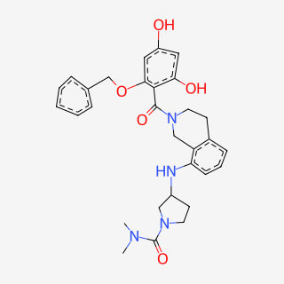 CN(C)C(=O)N1CCC(Nc2cccc3c2CN(C(=O)c2c(O)cc(O)cc2OCc2ccccc2)CC3)C1